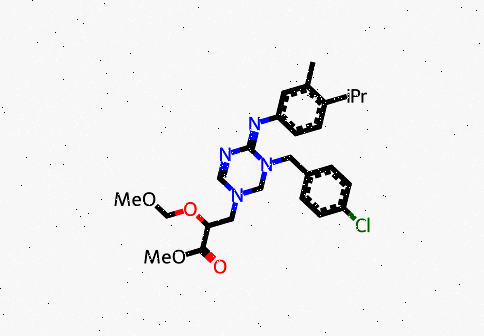 COCOC(CN1C=NC(=Nc2ccc(C(C)C)c(C)c2)N(Cc2ccc(Cl)cc2)C1)C(=O)OC